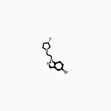 F[C@H]1CCN(CCn2ncc3cc(Br)ccc32)C1